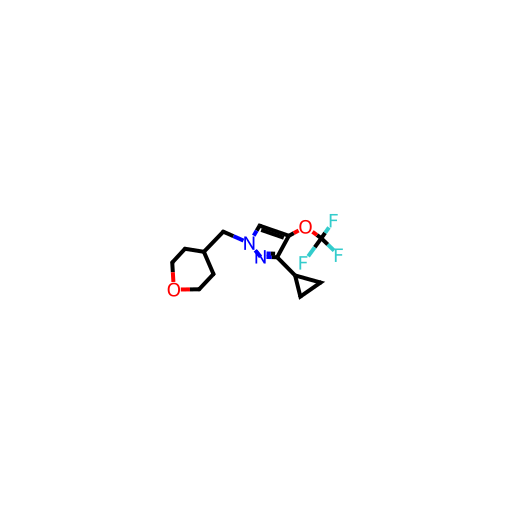 FC(F)(F)Oc1cn(CC2CCOCC2)nc1C1CC1